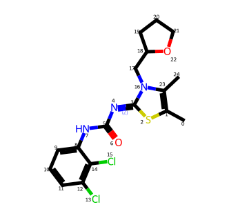 Cc1s/c(=N\C(=O)Nc2cccc(Cl)c2Cl)n(CC2CCCO2)c1C